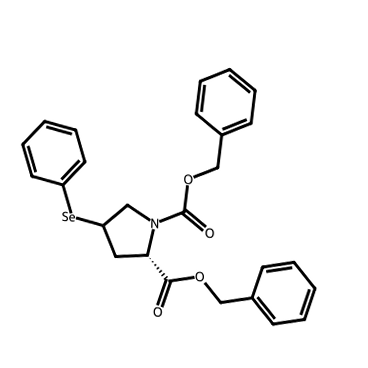 O=C(OCc1ccccc1)[C@@H]1CC([Se]c2ccccc2)CN1C(=O)OCc1ccccc1